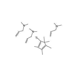 C=CCN(C)C.C=CCN(C)C.C=CCN(C)C.CC1=C(C)C(C)(C)[C]([Ti])=C1C